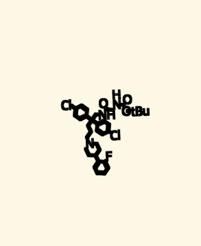 CC(C)(C)OC(=O)NCC(=O)NCC(CCCN1CCC(c2ccccc2F)CC1)(c1ccc(Cl)cc1)c1ccc(Cl)cc1